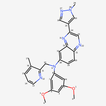 COc1cc(OC)cc(N(Cc2ncccc2C)c2ccc3ncc(-c4cnn(C)c4)nc3c2)c1